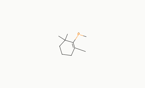 C[P]C1=C(C)CCCC1(C)C